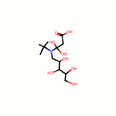 CC(C)(C)N(CC(O)C(O)C(O)CO)C(O)(O)CC(=O)O